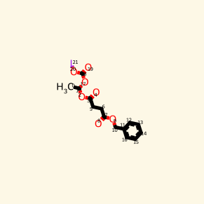 CC(OC(=O)CCC(=O)OCc1ccccc1)OC(=O)OI